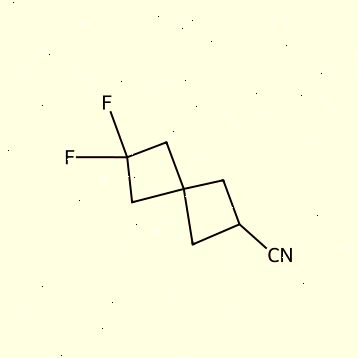 N#CC1CC2(C1)CC(F)(F)C2